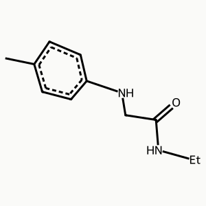 CCNC(=O)CNc1ccc(C)cc1